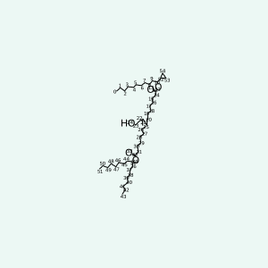 CCCCCCCCCCC(OC(=O)CCCCCCCN(CCO)CCCCCCCC(=O)OC(CCCCCCCC)CCCCCCCC)C1CC1